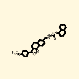 FC(F)(F)Oc1ccc(C2ON=C3c4ccc(/C=N/NC(=S)Nc5cccc6ccccc56)cc4CCC32)cc1